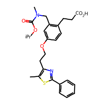 Cc1sc(-c2ccccc2)nc1CCOc1ccc(CCC(=O)O)c(CN(C)C(=O)OC(C)C)c1